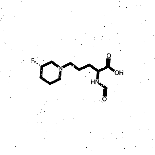 O=CNC(CCCN1CCC[C@H](F)C1)C(=O)O